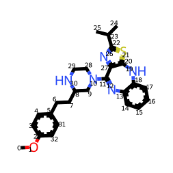 COc1ccc(CCC2CN(C3=Nc4ccccc4Nc4sc(C(C)C)nc43)CCN2)cc1